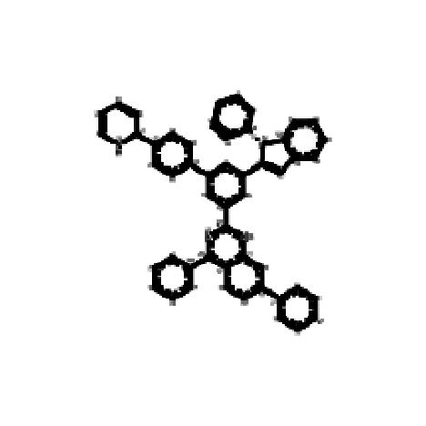 c1cccc([C@H]2C(c3cc(-c4ccc(C5C=CC=CN5)cc4)cc(-c4nc(-c5ccccc5)c5ccc(-c6ccccc6)cc5n4)c3)=Cc3ccccc32)c#1